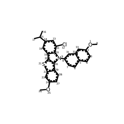 COc1ccc2ccc(-n3c4c(Cl)cc(C(C)C)cc4c4sc5cc(OC)ccc5c43)cc2c1